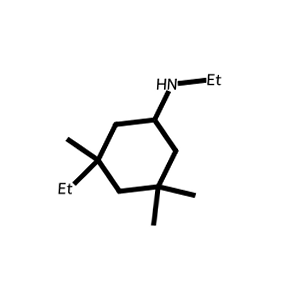 CCNC1CC(C)(C)CC(C)(CC)C1